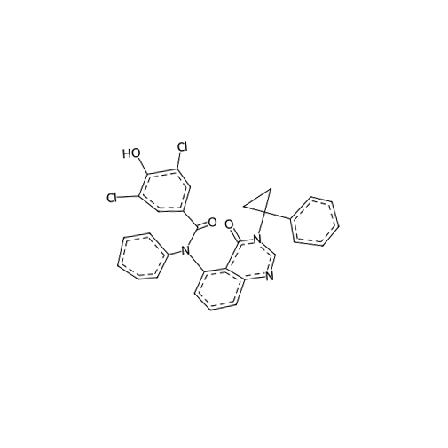 O=C(c1cc(Cl)c(O)c(Cl)c1)N(c1ccccc1)c1cccc2ncn(C3(c4ccccc4)CC3)c(=O)c12